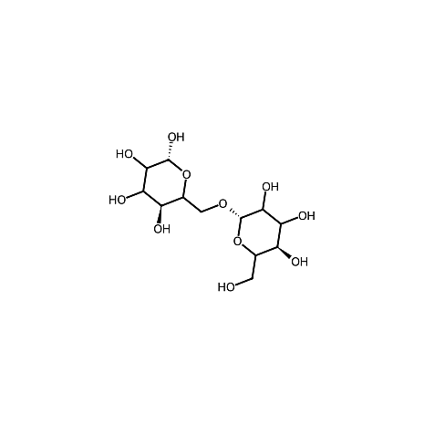 OCC1O[C@H](OCC2O[C@@H](O)C(O)C(O)[C@@H]2O)C(O)C(O)[C@H]1O